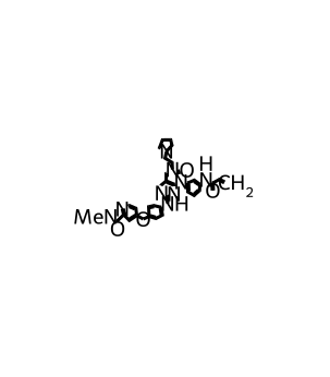 C=CC(=O)Nc1cccc(N2C(=O)N(CCN3CCCC3)Cc3cnc(Nc4ccc(Oc5ccnc(C(=O)NC)c5)cc4)nc32)c1